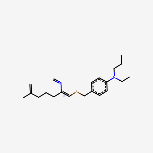 C=N/C(=C\SCc1ccc(N(CC)CCC)cc1)CCCC(=C)C